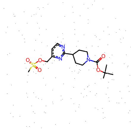 CC(C)(C)OC(=O)N1CCC(c2nccc(COS(C)(=O)=O)n2)CC1